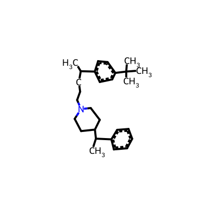 CC(CCCN1CCC(C(C)c2ccccc2)CC1)c1ccc(C(C)(C)C)cc1